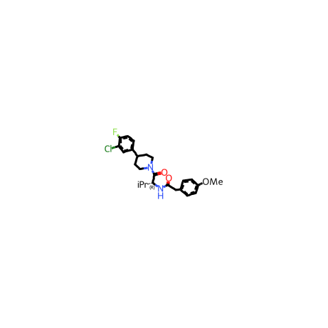 COc1ccc(CC(=O)N[C@@H](C(=O)N2CCC(c3ccc(F)c(Cl)c3)CC2)C(C)C)cc1